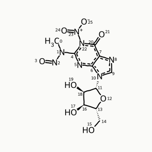 CN(N=O)c1nc2c(ncn2[C@@H]2O[C@H](CO)[C@@H](O)[C@H]2O)c(=O)n1[N+](=O)[O-]